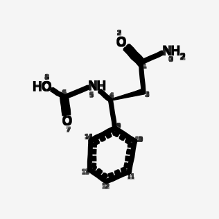 NC(=O)C[C@H](NC(=O)O)c1ccccc1